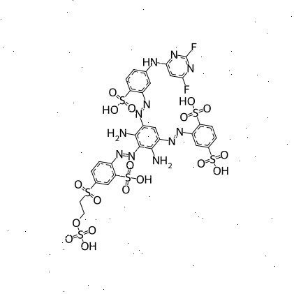 Nc1c(/N=N/c2cc(Nc3cc(F)nc(F)n3)ccc2S(=O)(=O)O)cc(/N=N/c2cc(S(=O)(=O)O)ccc2S(=O)(=O)O)c(N)c1/N=N/c1ccc(S(=O)(=O)CCOS(=O)(=O)O)cc1S(=O)(=O)O